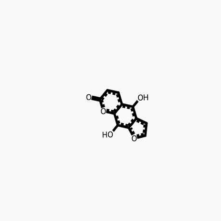 O=c1ccc2c(O)c3ccoc3c(O)c2o1